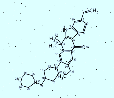 C=Cc1ccc2c3c([nH]c2c1)C(C)(C)c1cc(N2CCC(CN4CCOCC4)CC2)c(CC)cc1C3=O